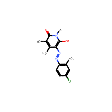 CCn1c(O)c(N=Nc2ccc(Cl)cc2[N+](=O)[O-])c(C)c(C#N)c1=O